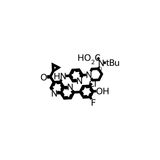 CC(C)(C)N(C(=O)O)[C@H]1CCCN(c2ccc(Nc3c(C(=O)C4CC4)cnc4ccc(-c5cc(F)c(O)c(Cl)c5)nc34)cn2)C1